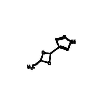 CC1OC(c2cn[nH]c2)O1